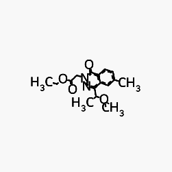 CCOC(=O)Cn1nc(C(C)OC)c2cc(C)ccc2c1=O